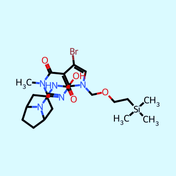 Cn1c(N2C3CCC2CC(NC(=O)O)C3)nc2c(c(Br)cn2COCC[Si](C)(C)C)c1=O